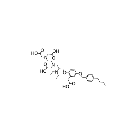 CCCCc1ccc(COc2ccc(OCC(CN(CCN(CC(=O)O)CC(=O)O)CC(=O)O)N(CC)CC)c(CC(=O)O)c2)cc1